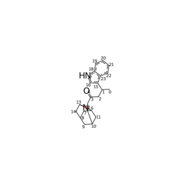 CC(CC(=O)N1C2CC3CC(C2)CC1C3)c1c[nH]c2ccccc12